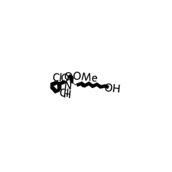 COC(=O)[C@H](C/C=C/CCCCCO)NC(=O)c1c(Cl)cccc1Cl